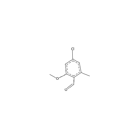 COc1cc(Cl)cc(C)c1C=O